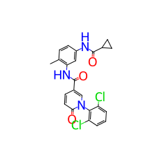 Cc1ccc(NC(=O)C2CC2)cc1NC(=O)c1ccc(=O)n(-c2c(Cl)cccc2Cl)c1